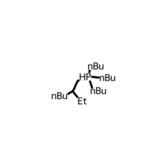 CCCCC(CC)C[PH](CCCC)(CCCC)CCCC